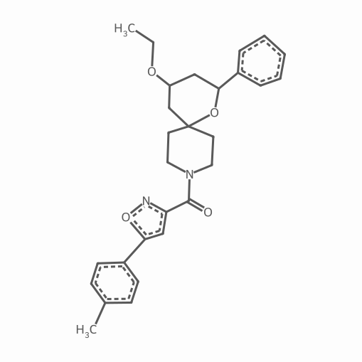 CCOC1CC(c2ccccc2)OC2(CCN(C(=O)c3cc(-c4ccc(C)cc4)on3)CC2)C1